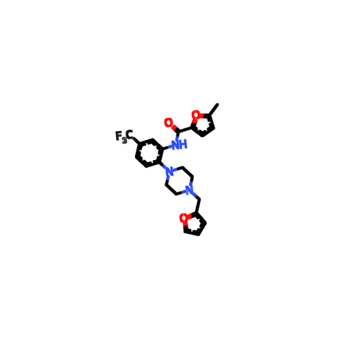 Cc1ccc(C(=O)Nc2cc(C(F)(F)F)ccc2N2CCN(Cc3ccco3)CC2)o1